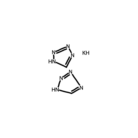 [KH].c1nnn[nH]1.c1nnn[nH]1